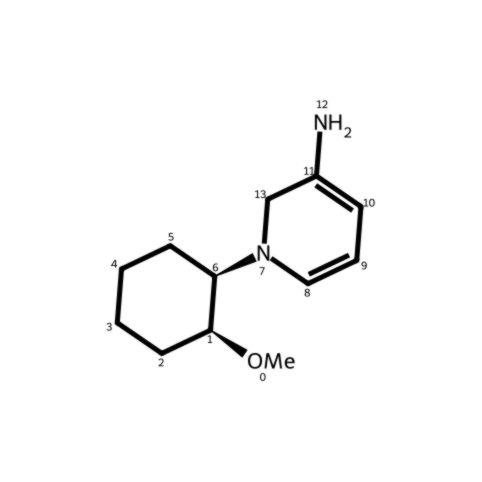 CO[C@H]1CCCC[C@H]1N1C=CC=C(N)C1